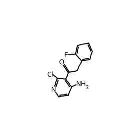 Nc1ccnc(Cl)c1C(=O)Cc1ccccc1F